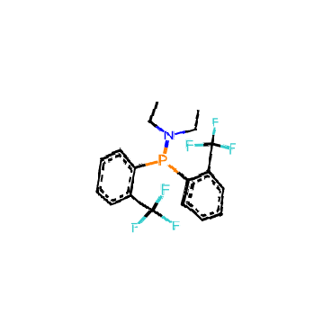 CCN(CC)P(c1ccccc1C(F)(F)F)c1ccccc1C(F)(F)F